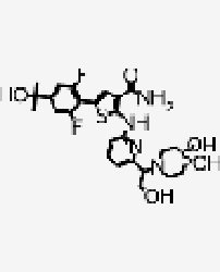 CC(C)(O)c1cc(F)c(-c2cc(C(N)=O)c(Nc3cccc(C(CO)N4CCS(O)(O)CC4)n3)s2)c(F)c1